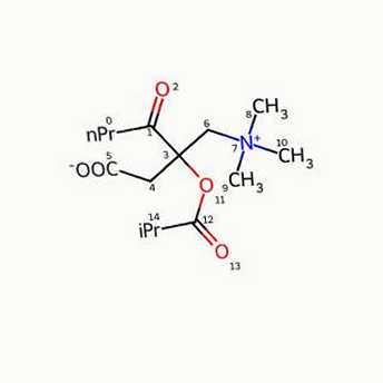 CCCC(=O)C(CC(=O)[O-])(C[N+](C)(C)C)OC(=O)C(C)C